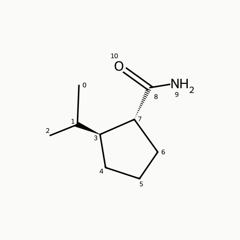 CC(C)[C@@H]1CCC[C@H]1C(N)=O